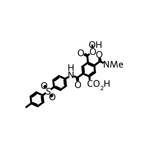 CNC(=O)c1cc(C(=O)O)c(C(=O)Nc2ccc(S(=O)(=O)c3ccc(C)cc3)cc2)cc1C(=O)OO